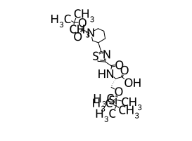 CC(C)(C)OC(=O)N1CCCC(c2nc(C(=O)N[C@@H](CO[Si](C)(C)C(C)(C)C)C(=O)O)cs2)C1